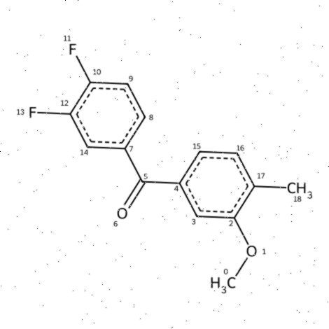 COc1cc(C(=O)c2ccc(F)c(F)c2)ccc1C